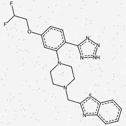 FC(F)COc1ccc(-c2nn[nH]n2)c(N2CCN(Cc3nc4ccccc4s3)CC2)c1